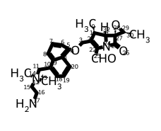 C[C@H]1C(COc2cccc3c(C[N+](C)(C)CCN)cccc23)=C(C=O)N2C(=O)[C@@]3(O[C@@H]3C)[C@@H]12